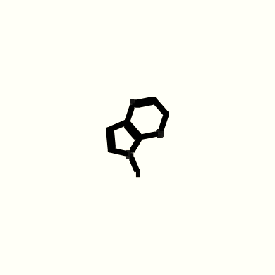 In1ccc2c1OCC=N2